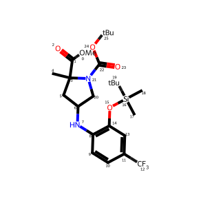 COC(=O)C1(C)CC(Nc2ccc(C(F)(F)F)cc2O[Si](C)(C)C(C)(C)C)CN1C(=O)OC(C)(C)C